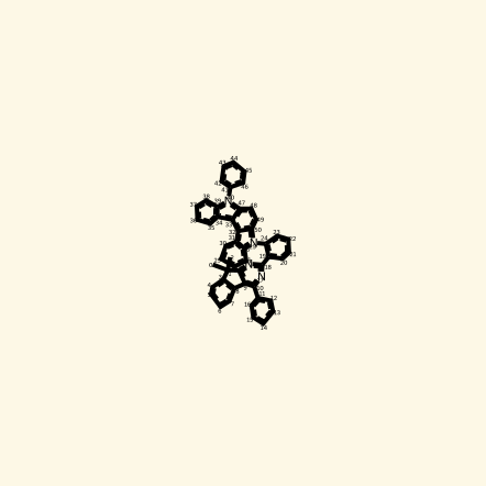 CC1(C)c2ccccc2-c2c(-c3ccccc3)nc(-c3ccccc3-n3c4ccccc4c4c5c6ccccc6n(-c6ccccc6)c5ccc43)nc21